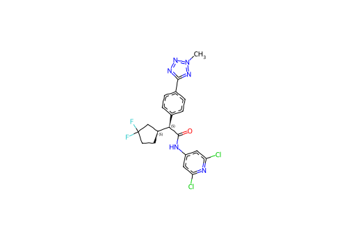 Cn1nnc(-c2ccc([C@@H](C(=O)Nc3cc(Cl)nc(Cl)c3)[C@H]3CCC(F)(F)C3)cc2)n1